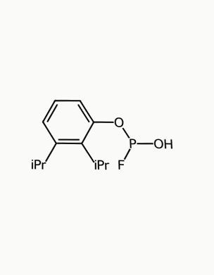 CC(C)c1cccc(OP(O)F)c1C(C)C